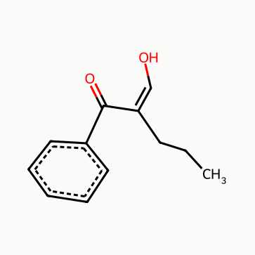 CCC/C(=C/O)C(=O)c1ccccc1